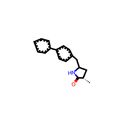 C[C@H]1CC(Cc2ccc(-c3ccccc3)cc2)NC1=O